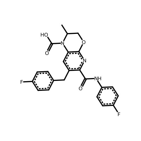 CC1COc2nc(C(=O)Nc3ccc(F)cc3)c(Cc3ccc(F)cc3)cc2N1C(=O)O